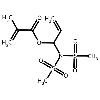 C=CC(OC(=O)C(=C)C)N(S(C)(=O)=O)S(C)(=O)=O